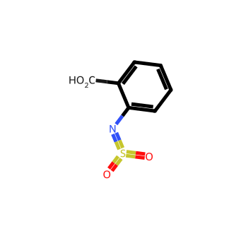 O=C(O)c1ccccc1N=S(=O)=O